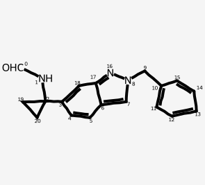 O=CNC1(c2ccc3cn(Cc4ccccc4)nc3c2)CC1